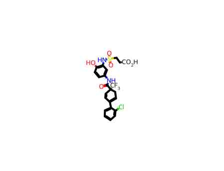 O=C(O)CCS(=O)(=O)Nc1cc(NC(=O)C2(C(F)(F)F)C=CC(c3ccccc3Cl)=CC2)ccc1O